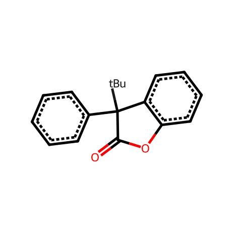 CC(C)(C)C1(c2ccccc2)C(=O)Oc2ccccc21